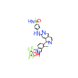 Cc1c(-c2nccc3cnc(Nc4ccc([S@@](C)(=N)=O)cc4)cc23)ccc2c1cnn2CC(O)(C(F)(F)F)C(F)(F)F